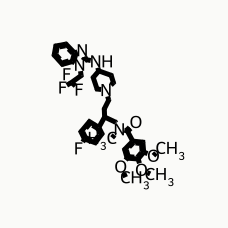 COc1cc(C(=O)N(C)CC(CCN2CCC(Nc3nc4ccccc4n3CC(F)(F)F)CC2)c2ccc(F)cc2)cc(OC)c1OC